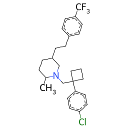 CC1CCC(CCc2ccc(C(F)(F)F)cc2)CN1CC1(c2ccc(Cl)cc2)CCC1